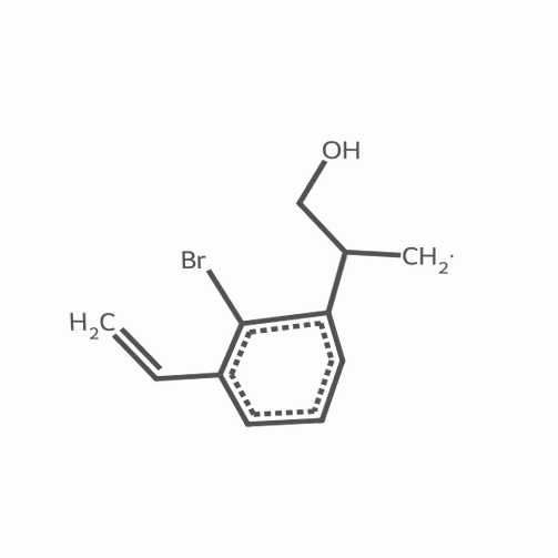 [CH2]C(CO)c1cccc(C=C)c1Br